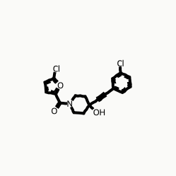 O=C(c1ccc(Cl)o1)N1CCC(O)(C#Cc2cccc(Cl)c2)CC1